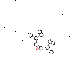 C1=CC(c2cc(-c3ccc4oc5c(c4c3)=CC(c3cc(-c4ccccc4)cc(-c4cccc6ccccc46)c3)CC=5)cc(-c3cccc4ccccc34)c2)=CCC1